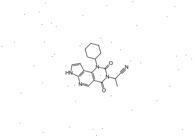 CC(C#N)n1c(=O)c2cnc3[nH]ccc3c2n(C2CCCCC2)c1=O